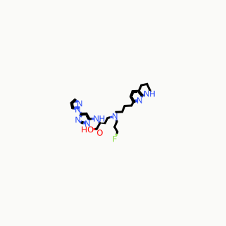 O=C(O)[C@H](CCN(CCCF)CCCCc1ccc2c(n1)NCCC2)Nc1cc(-n2cccn2)ncn1